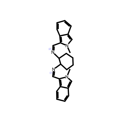 Cn1cc2ccccc2c1/C=N\C1CCCCC1/N=C\c1c2ccccc2cn1C